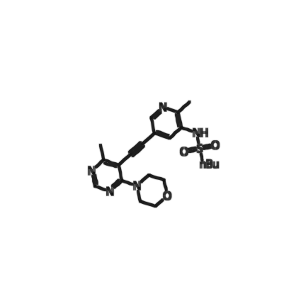 CCCCS(=O)(=O)Nc1cc(C#Cc2c(C)ncnc2N2CCOCC2)cnc1C